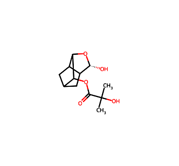 CC(C)(O)C(=O)OC1C2CC3C1O[C@H](O)C3C2